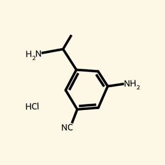 CC(N)c1cc(N)cc(C#N)c1.Cl